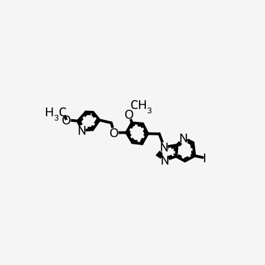 COc1ccc(COc2ccc(Cn3cnc4cc(I)cnc43)cc2OC)cn1